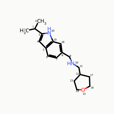 CC(C)c1cc2ccc(CNCC3CCOCC3)cc2[nH]1